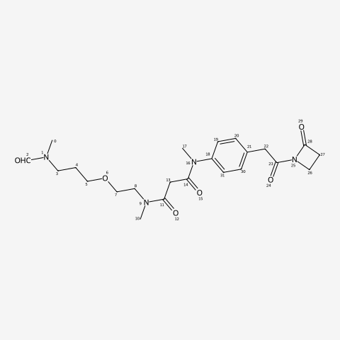 CN(C=O)CCCOCCN(C)C(=O)CC(=O)N(C)c1ccc(CC(=O)N2CCC2=O)cc1